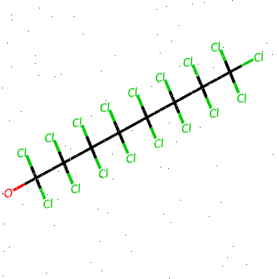 [O]C(Cl)(Cl)C(Cl)(Cl)C(Cl)(Cl)C(Cl)(Cl)C(Cl)(Cl)C(Cl)(Cl)C(Cl)(Cl)C(Cl)(Cl)Cl